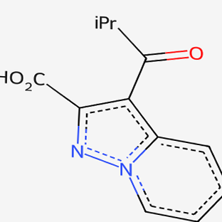 CC(C)C(=O)c1c(C(=O)O)nn2ccccc12